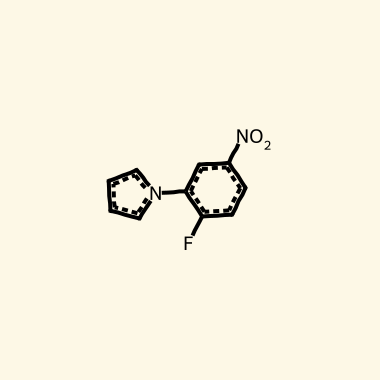 O=[N+]([O-])c1ccc(F)c(-n2cccc2)c1